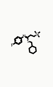 C[Si](C)(C)CCC(=Nc1ccc(F)cc1)SCC1CCCCC1